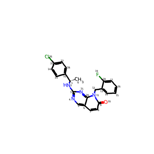 C[C@H](Nc1ncc2ccc(=O)n(Cc3ccccc3F)c2n1)c1ccc(Cl)cc1